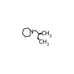 C=CC(=C)CN1CCCCC1